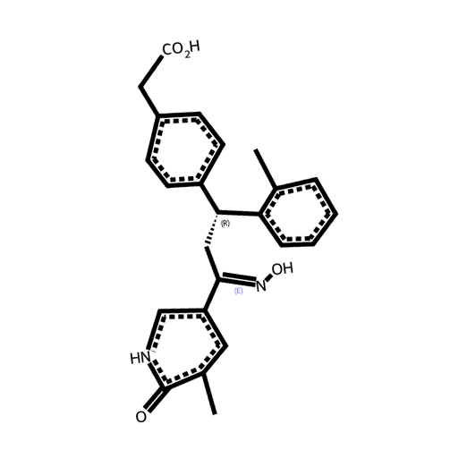 Cc1ccccc1[C@H](C/C(=N\O)c1c[nH]c(=O)c(C)c1)c1ccc(CC(=O)O)cc1